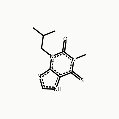 CC(C)Cn1c(=O)n(C)c(=S)c2[nH]cnc21